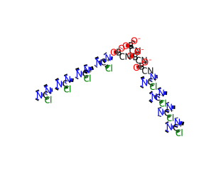 CN(C)[C+](Cl)N(C)C.CN(C)[C+](Cl)N(C)C.CN(C)[C+](Cl)N(C)C.CN(C)[C+](Cl)N(C)C.CN(C)[C+](Cl)N(C)C.CN(C)[C+](Cl)N(C)C.CN(C)[C+](Cl)N(C)C.CN(C)[C+](Cl)N(C)C.N#CB([O-])[O-].N#CB([O-])[O-].N#CB([O-])[O-].N#CB([O-])[O-]